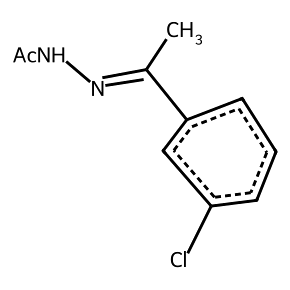 CC(=O)NN=C(C)c1cccc(Cl)c1